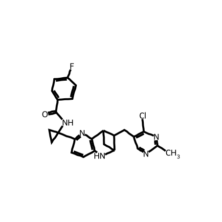 Cc1ncc(CC2C3CC2c2nc(C4(NC(=O)c5ccc(F)cc5)CC4)ccc2N3)c(Cl)n1